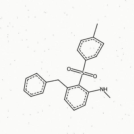 CNc1cccc(Cc2ccccc2)c1S(=O)(=O)c1ccc(C)cc1